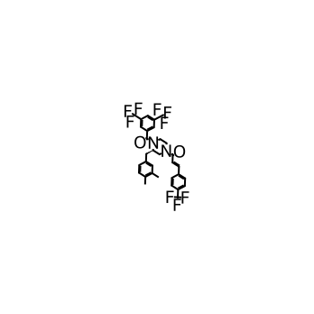 Cc1ccc(C[C@@H]2CN(C(=O)C=Cc3ccc(C(F)(F)F)cc3)CCN2C(=O)c2cc(C(F)(F)F)cc(C(F)(F)F)c2)cc1C